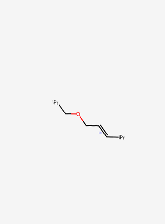 CC(C)/C=C/COCC(C)C